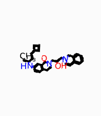 CCC(CCC1CCC1)Nc1ccc2c(c1)C(=O)N(CC(O)CN1CCc3ccccc3C1)CC2